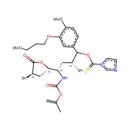 C=C(C)OC(=O)N[C@@H](C[C@@H](C(C)C)C(OC(=S)n1ccnc1)c1ccc(OC)c(OCCCOC)c1)[C@@H]1C[C@@H](C(C)C)C(=O)O1